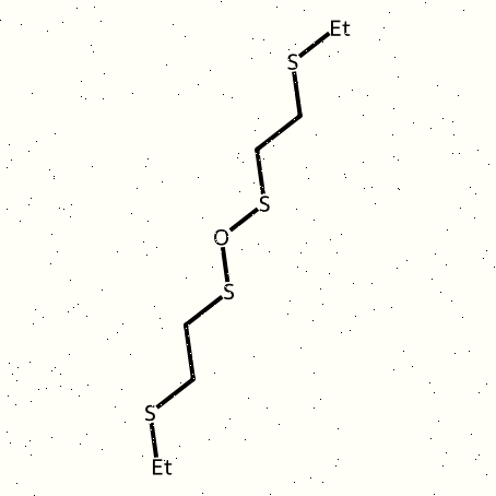 CCSCCSOSCCSCC